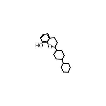 Oc1cccc2c1OC(C1CCC(C3CCCCC3)CC1)CC2